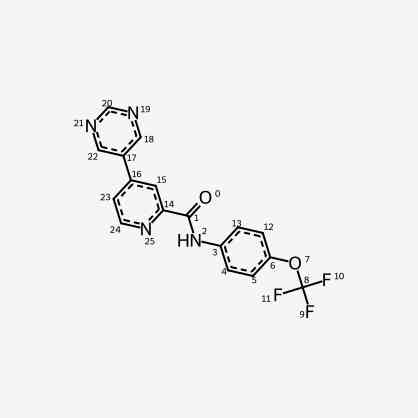 O=C(Nc1ccc(OC(F)(F)F)cc1)c1cc(-c2cncnc2)ccn1